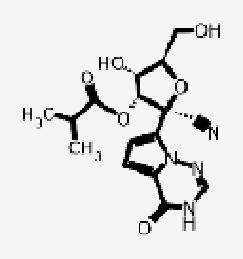 CC(C)C(=O)O[C@@H]1[C@H](O)[C@@H](CO)O[C@@]1(C#N)c1ccc2c(=O)[nH]cnn12